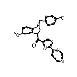 COc1ccc2c(c1)C(C(=O)c1csc(-c3ccncn3)n1)CN2Cc1ccc(Cl)cc1